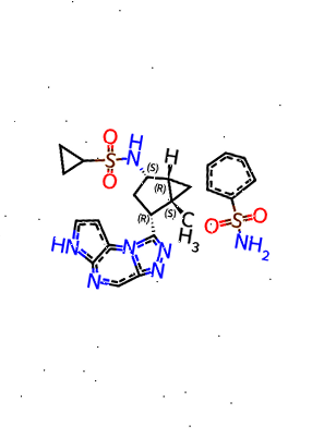 C[C@]12C[C@H]1[C@@H](NS(=O)(=O)C1CC1)C[C@H]2c1nnc2cnc3[nH]ccc3n12.NS(=O)(=O)c1ccccc1